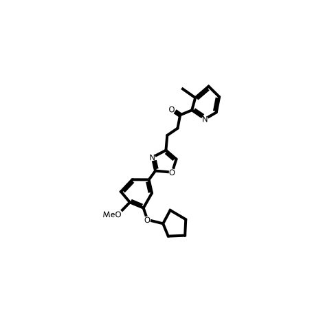 COc1ccc(-c2nc(CCC(=O)c3ncccc3C)co2)cc1OC1CCCC1